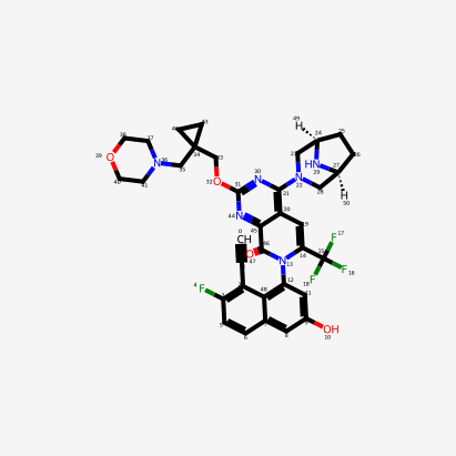 C#Cc1c(F)ccc2cc(O)cc(-n3c(C(F)(F)F)cc4c(N5C[C@H]6CC[C@@H](C5)N6)nc(OCC5(CN6CCOCC6)CC5)nc4c3=O)c12